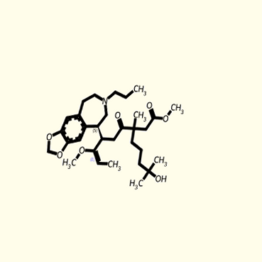 C/C=C(/OC)C(CC(=O)C(C)(CCCC(C)(C)O)CC(=O)OC)[C@@H]1CN(CCC)CCc2cc3c(cc21)OCO3